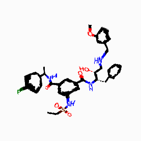 CCS(=O)(=O)Nc1cc(C(=O)NC(C)c2ccc(F)cc2)cc(C(=O)N[C@@H](Cc2ccccc2)[C@H](O)CNCc2cccc(OC)c2)c1